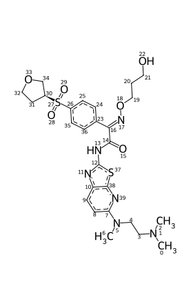 CN(C)CCN(C)c1ccc2nc(NC(=O)/C(=N/OCCCO)c3ccc(S(=O)(=O)[C@H]4CCOC4)cc3)sc2n1